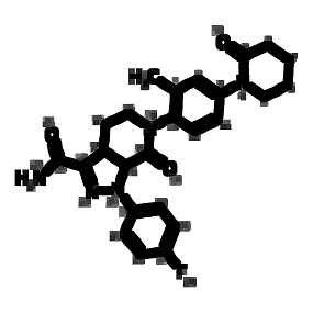 Cc1cc(N2CCCCC2=O)ccc1N1CCC2C(C(N)=O)=NN(c3ccc(F)cc3)C2C1=O